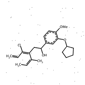 C=C/C(Cl)=C(CC(O)c1ccc(OC)c(OC2CCCC2)c1)\C(C)=C/C